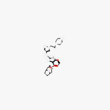 CN1CCN(C(=O)Cn2cc(Nc3nc4c(N5CC6CCC(C5)N6S(=O)(=O)c5cccc(F)c5)cccn4n3)cn2)CC1